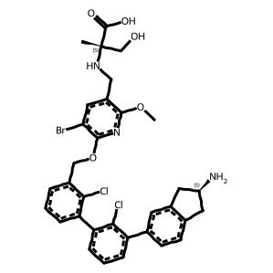 COc1nc(OCc2cccc(-c3cccc(-c4ccc5c(c4)C[C@@H](N)C5)c3Cl)c2Cl)c(Br)cc1CN[C@@](C)(CO)C(=O)O